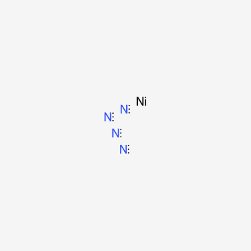 [N].[N].[N].[N].[Ni]